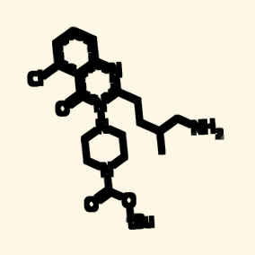 CC(CN)CCc1nc2cccc(Cl)c2c(=O)n1N1CCN(C(=O)OC(C)(C)C)CC1